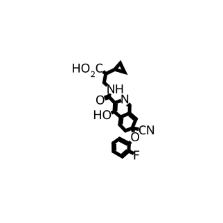 N#CC1(Oc2ccccc2F)C=c2cnc(C(=O)NCC(C(=O)O)C3CC3)c(O)c2=CC1